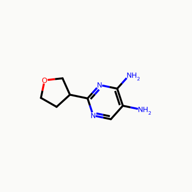 Nc1cnc(C2CCOC2)nc1N